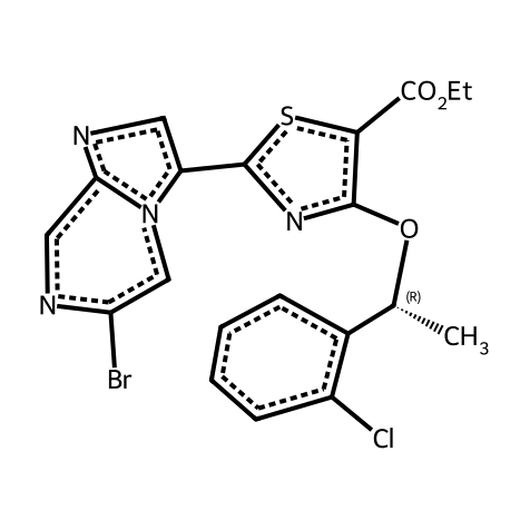 CCOC(=O)c1sc(-c2cnc3cnc(Br)cn23)nc1O[C@H](C)c1ccccc1Cl